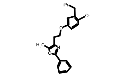 Cc1oc(-c2ccccc2)nc1CCOc1ccc([O])c(CC(C)C)c1